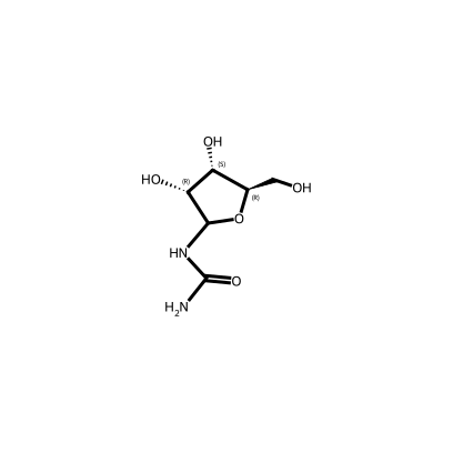 NC(=O)NC1O[C@H](CO)[C@@H](O)[C@H]1O